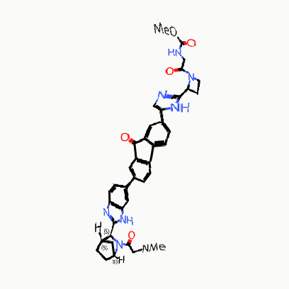 CNCC(=O)N1[C@@H]2CC[C@@H](C2)[C@H]1c1nc2ccc(-c3ccc4c(c3)C(=O)c3cc(-c5cnc(C6CCN6C(=O)CNC(=O)OC)[nH]5)ccc3-4)cc2[nH]1